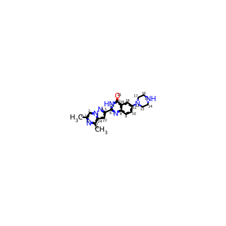 Cc1cn2nc(-c3nc4ccc(N5CCNCC5)cc4c(=O)[nH]3)cc2c(C)n1